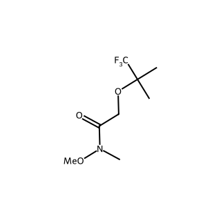 CON(C)C(=O)COC(C)(C)C(F)(F)F